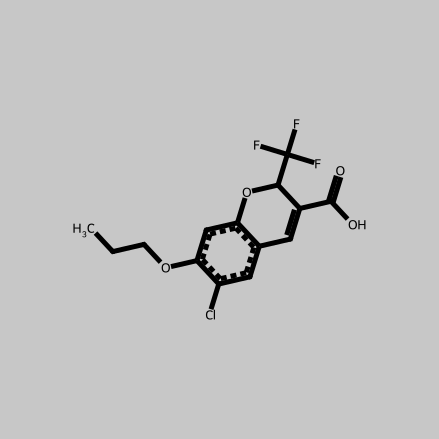 CCCOc1cc2c(cc1Cl)C=C(C(=O)O)C(C(F)(F)F)O2